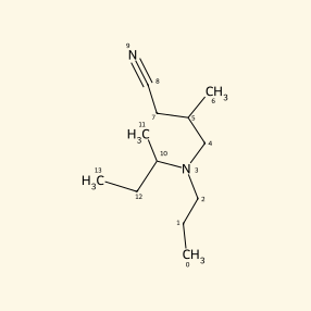 CCCN(CC(C)CC#N)C(C)CC